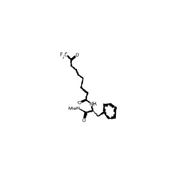 CNC(=O)[C@H](Cc1ccccc1)NC(=O)CCCCCCC(=O)C(F)(F)F